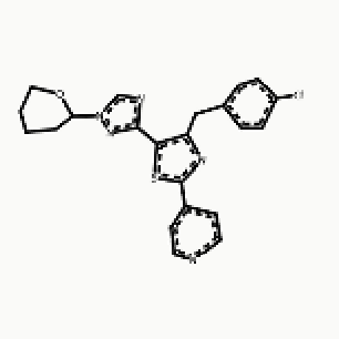 Clc1ccc(Cc2nc(-c3ccncc3)sc2-c2ncn(C3CCCCO3)n2)cc1